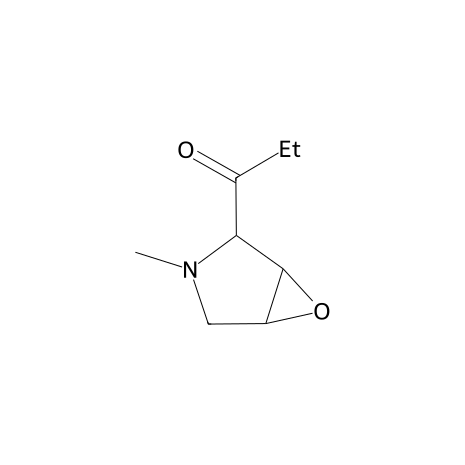 CCC(=O)C1C2OC2CN1C